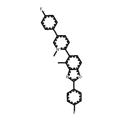 Cc1c(-c2ccc(-c3ccc(F)cc3)c[n+]2C)ccc2oc(-c3ccc(F)cc3)nc12